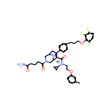 Cc1cccc(OCCN(C(=O)C2=C(c3ccc(CCCOc4c(F)ccc(F)c4F)cc3)CC3CN(C(=O)CCCC(N)=O)C[C@H]2N3)C2CC2)c1